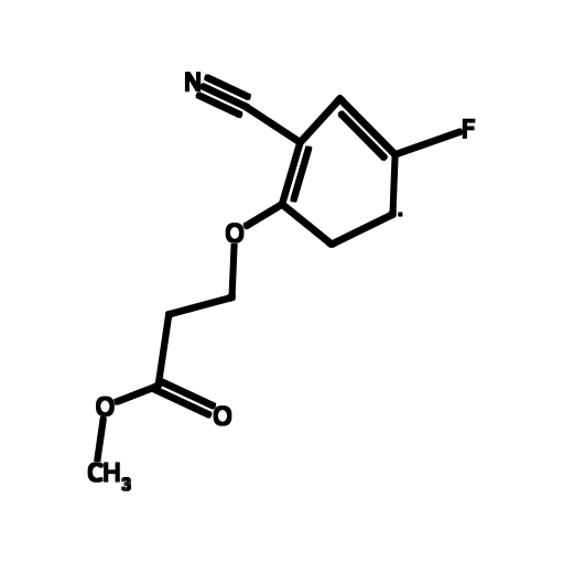 COC(=O)CCOC1=C(C#N)C=C(F)[CH]C1